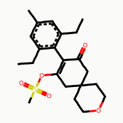 CCc1cc(C)cc(CC)c1C1=C(OS(C)(=O)=O)CC2(CCOCC2)CC1=O